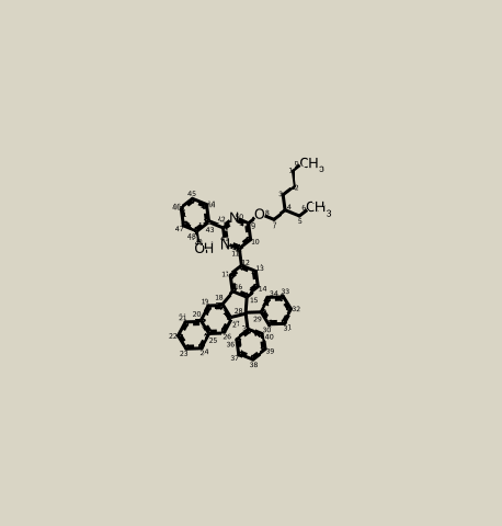 CCCCC(CC)COc1cc(-c2ccc3c(c2)-c2cc4ccccc4cc2C3(c2ccccc2)c2ccccc2)nc(-c2ccccc2O)n1